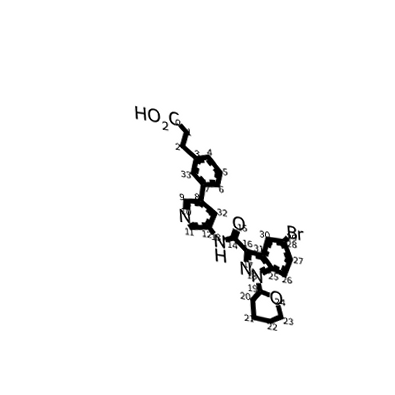 O=C(O)CCc1cccc(-c2cncc(NC(=O)c3nn(C4CCCCO4)c4ccc(Br)cc34)c2)c1